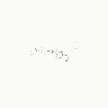 C=C(OC(C)(C)C)N1CCC(=NOc2nc3oc(=O)cc(CCC4CCCCC4)c3c(=O)[nH]2)CC1